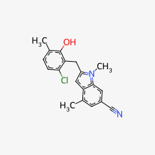 Cc1ccc(Cl)c(Cc2cc3c(C)cc(C#N)cc3n2C)c1O